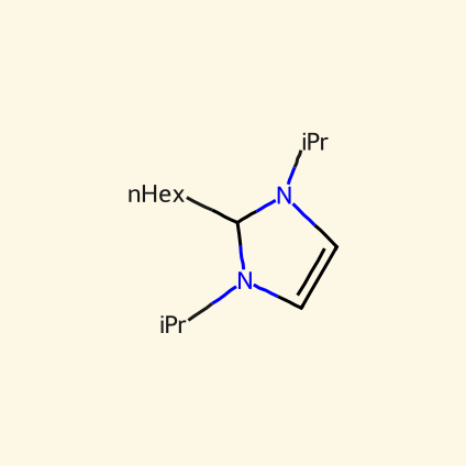 CCCCCCC1N(C(C)C)C=CN1C(C)C